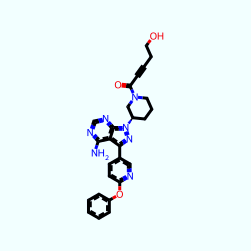 Nc1ncnc2c1c(-c1ccc(Oc3ccccc3)nc1)nn2[C@@H]1CCCN(C(=O)C#CCCO)C1